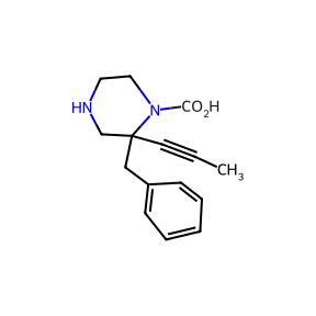 CC#CC1(Cc2ccccc2)CNCCN1C(=O)O